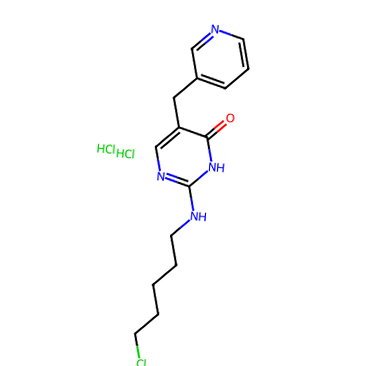 Cl.Cl.O=c1[nH]c(NCCCCCCl)ncc1Cc1cccnc1